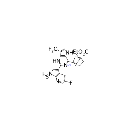 CCOC(=O)C1C2CCC(CC2)C1/C(=N/C(=N)c1cn(SI)c2ncc(F)cc12)c1cc(C(F)(F)F)c[nH]1